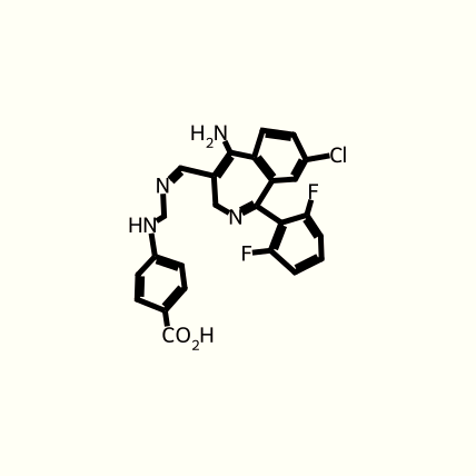 NC1=C(/C=N\CNc2ccc(C(=O)O)cc2)CN=C(c2c(F)cccc2F)c2cc(Cl)ccc21